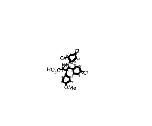 COc1ccc(-c2c(C(=O)O)nn(-c3ccc(Cl)cc3Cl)c2-c2ccc(Cl)cc2)cc1